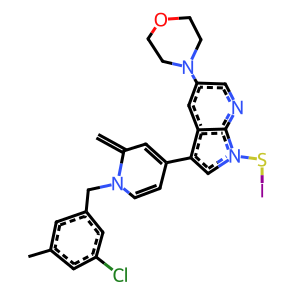 C=C1C=C(c2cn(SI)c3ncc(N4CCOCC4)cc23)C=CN1Cc1cc(C)cc(Cl)c1